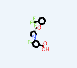 O=C(O)c1ccc(F)c(N2CC[C@H](COc3ccccc3C(F)(F)F)C2)c1